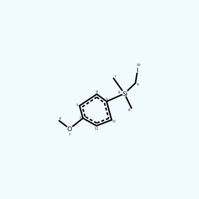 COc1ccc([Si](C)(C)CI)cc1